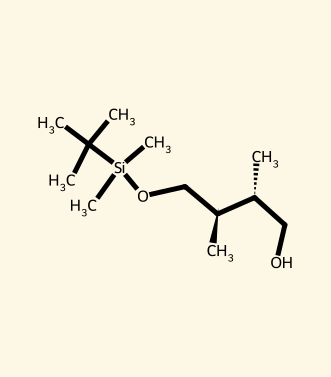 C[C@H](CO)[C@@H](C)CO[Si](C)(C)C(C)(C)C